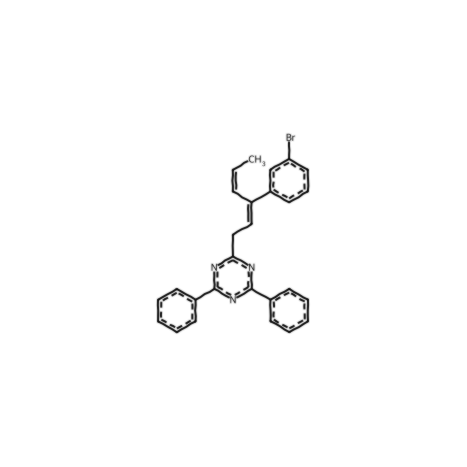 C/C=C\C(=C/Cc1nc(-c2ccccc2)nc(-c2ccccc2)n1)c1cccc(Br)c1